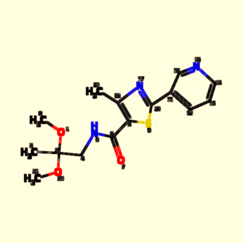 COC(C)(CNC(=O)c1sc(-c2cccnc2)nc1C)OC